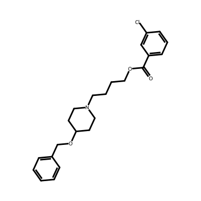 O=C(OCCCCN1CCC(OCc2ccccc2)CC1)c1cccc(Cl)c1